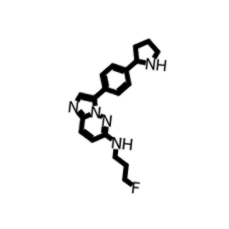 FCCCNc1ccc2ncc(-c3ccc(C4CCCN4)cc3)n2n1